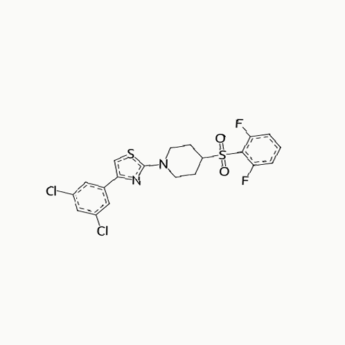 O=S(=O)(c1c(F)cccc1F)C1CCN(c2nc(-c3cc(Cl)cc(Cl)c3)cs2)CC1